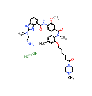 COc1cc(C(=O)N(C)c2ccc(C)cc2OCCCCCC(=O)N2CCN(C)CC2)ccc1NC(=O)c1cccc2[nH]c(N(C)CCN)nc12.Cl.Cl.Cl